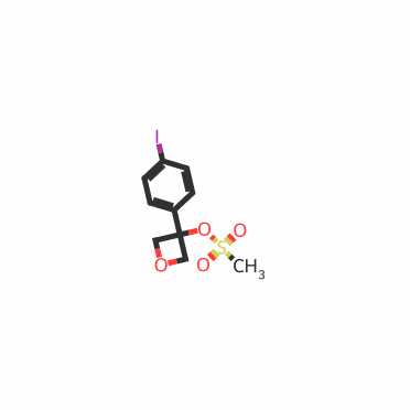 CS(=O)(=O)OC1(c2ccc(I)cc2)COC1